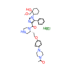 COC[C@]1(O)CCCC[C@H]1n1cnc(C(=O)N2CCNC[C@H]2CCOc2ccc(N3CCN(C(C)=O)CC3)cc2)c1-c1ccccc1.Cl.Cl